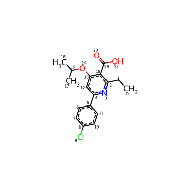 CCc1nc(-c2ccc(Cl)cc2)cc(OC(C)C)c1C(=O)O